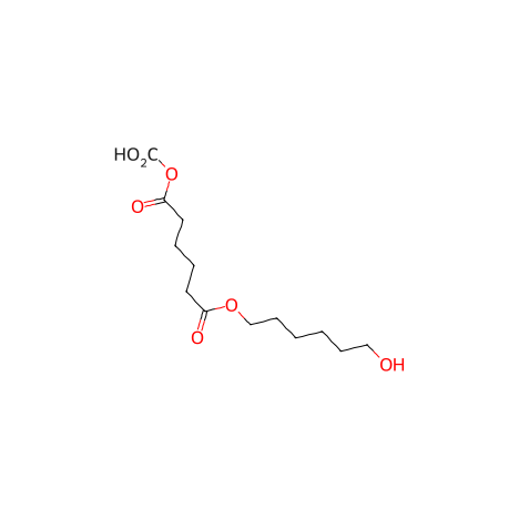 O=C(O)OC(=O)CCCCC(=O)OCCCCCCO